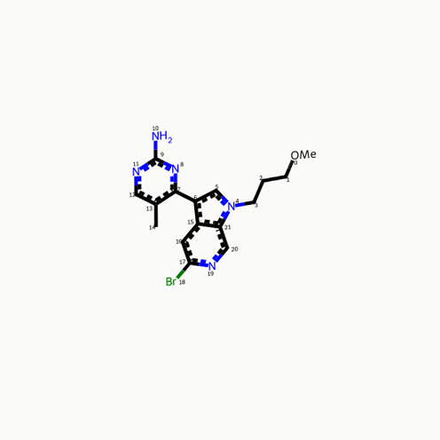 COCCCn1cc(-c2nc(N)ncc2C)c2cc(Br)ncc21